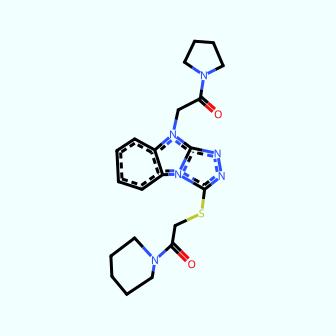 O=C(CSc1nnc2n(CC(=O)N3CCCC3)c3ccccc3n12)N1CCCCC1